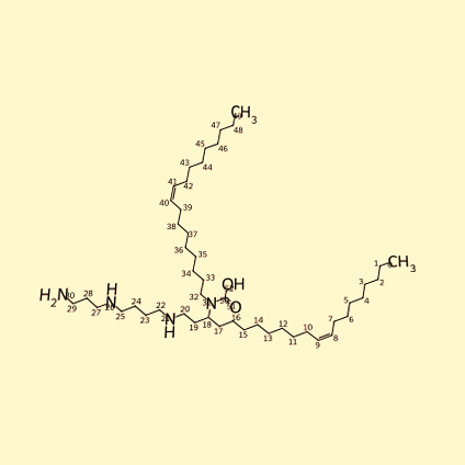 CCCCCCCC/C=C\CCCCCCCCC(CCNCCCCNCCCN)N(CCCCCCCC/C=C\CCCCCCCC)C(=O)O